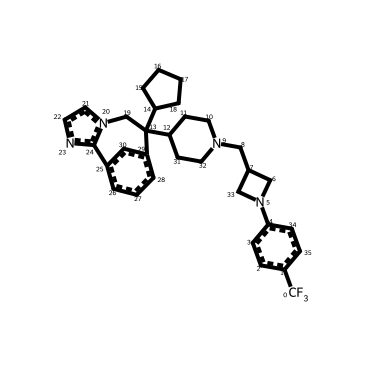 FC(F)(F)c1ccc(N2CC(CN3CCC(C4(C5CCCC5)Cn5ccnc5-c5cccc4c5)CC3)C2)cc1